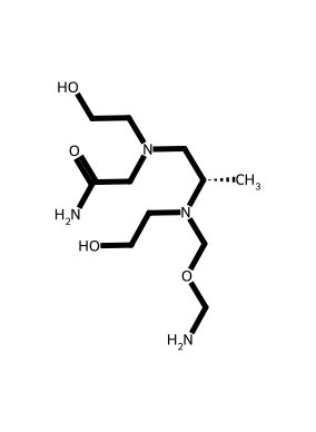 C[C@@H](CN(CCO)CC(N)=O)N(CCO)COCN